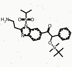 CC(C)S(=O)(=O)n1c(CCN)nc2ccc(C(=O)C(O[Si](C)(C)C(C)(C)C)c3ccccc3)cc21